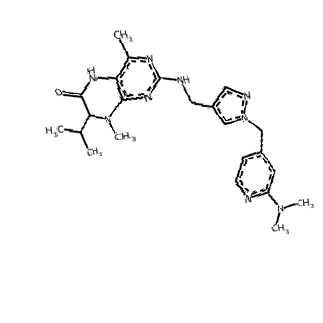 Cc1nc(NCc2cnn(Cc3ccnc(N(C)C)c3)c2)nc2c1NC(=O)C(C(C)C)N2C